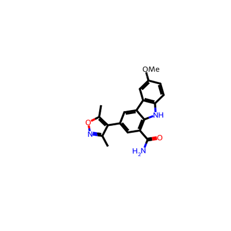 COc1ccc2[nH]c3c(C(N)=O)cc(-c4c(C)noc4C)cc3c2c1